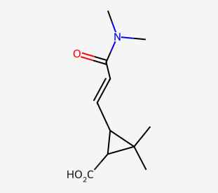 CN(C)C(=O)/C=C/C1C(C(=O)O)C1(C)C